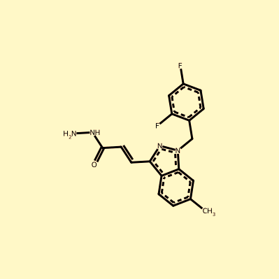 Cc1ccc2c(/C=C/C(=O)NN)nn(Cc3ccc(F)cc3F)c2c1